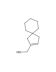 OCC1=CCC2(CCCCC2)C1